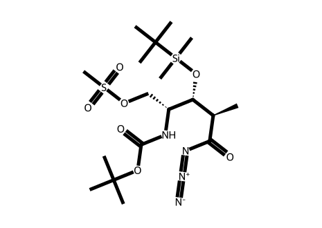 C[C@@H](C(=O)N=[N+]=[N-])[C@@H](O[Si](C)(C)C(C)(C)C)[C@@H](COS(C)(=O)=O)NC(=O)OC(C)(C)C